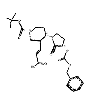 CC(C)(C)OC(=O)[C@@H]1CC[C@H](N2CC[C@H](NC(=O)OCc3ccccc3)C2=O)C(C=CC(=O)O)C1